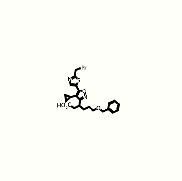 CC(C)Cc1ncc(-c2onc(C(CCCOCc3ccccc3)CC(=O)O)c2C2CC2)s1